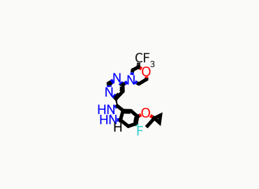 CC1(OC2=C(F)C[C@H]3NN[C@@H](c4cc(N5CCOC(C(F)(F)F)C5)ncn4)C3=C2)CC1